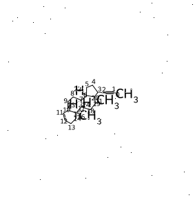 CC#C[C@@H]1CC[C@H]2[C@@H]3CC=C4C=CCC[C@]4(C)[C@H]3CC[C@]12C